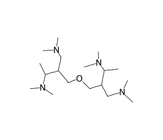 CC(C(COCC(CN(C)C)C(C)N(C)C)CN(C)C)N(C)C